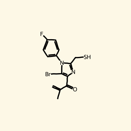 C=C(C)C(=O)c1nc(CS)n(-c2ccc(F)cc2)c1Br